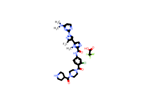 CN(C)c1ccnc(-n2cc(-c3cnc(C(=O)Nc4ccc(C(=O)N5CCN(C(=O)C6CCNCC6)CC5)c(Cl)c4)n3C)c(C(F)(F)F)n2)n1.O=C(O)C(F)(F)F